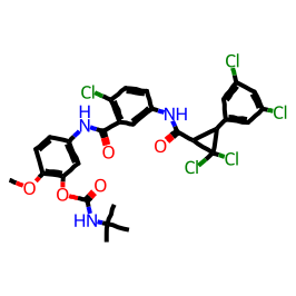 COc1ccc(NC(=O)c2cc(NC(=O)C3C(c4cc(Cl)cc(Cl)c4)C3(Cl)Cl)ccc2Cl)cc1OC(=O)NC(C)(C)C